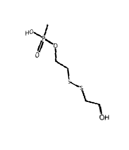 CP(=O)(O)OCCSSCCO